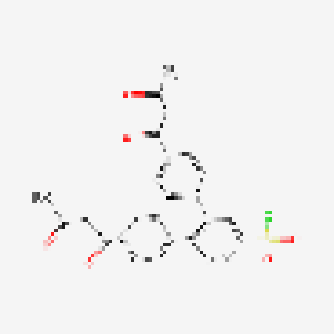 O=C(CC(=O)C(F)(F)F)c1ccc(-c2ccc(S(=O)(=O)Cl)cc2-c2ccc(C(=O)CC(=O)C(F)(F)F)cc2)cc1